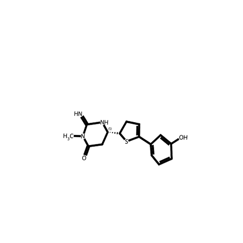 CN1C(=N)N[C@H](C2CC=C(c3cccc(O)c3)S2)CC1=O